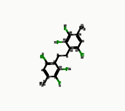 Fc1c(C(F)(F)F)cc(Cl)c([CH]Cc2c(Cl)cc(C(F)(F)F)c(F)c2F)c1F